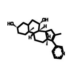 CC1=C(c2cccnc2)[C@@]2(C)CC[C@H]3[C@@H]([C@@H](O)CC4C[C@@H](O)CC[C@@]43C)[C@@H]2C1